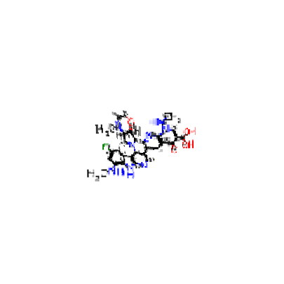 CNc1cc(F)cc2c1[nH]c1ncc(-c3cnc4c(c3)c(=O)c(C(O)O)cn4NC)c(N3C[C@@H]4OCCN(C)[C@@H]4C3)c12